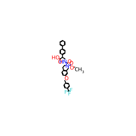 CCOC(=O)[N+]1(C(=O)NCC(C(=O)O)c2ccc(-c3ccccc3)cc2)CCc2ccc(OCc3ccc(C(F)(F)F)cc3)cc2C1